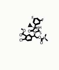 COC(=O)c1cc(C(COC(=O)N(C)C)N2C(=O)[C@](c3cc(F)cc(F)c3)(C3CC3)NC2=S)ccc1Cl